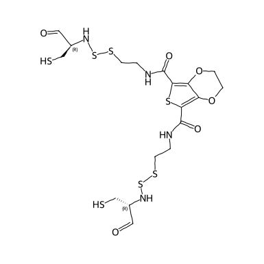 O=C[C@H](CS)NSSCCNC(=O)c1sc(C(=O)NCCSSN[C@H](C=O)CS)c2c1OCCO2